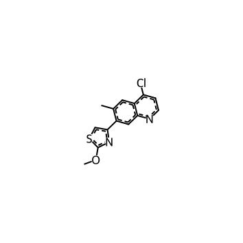 COc1nc(-c2cc3nccc(Cl)c3cc2C)cs1